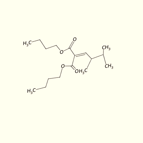 CCCCOC(=O)C(=CC(C)C(C)C)C(=O)OCCCC